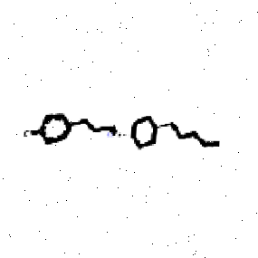 CCCCC[C@H]1CC[C@H](/C=C/CCc2ccc(Cl)cc2)CC1